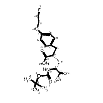 CC(C)(C)OC(=O)N[C@H](C[C@@H](Cc1ccc(OCCF)cc1)C(=O)O)C(=O)O